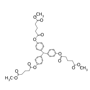 COC(=O)CCCC(=O)Oc1ccc(C(c2ccc(OC(=O)CCCC(=O)OC)cc2)c2ccc(OC(=O)CCCC(=O)OC)cc2)cc1